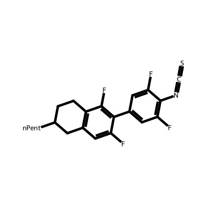 CCCCCC1CCc2c(cc(F)c(-c3cc(F)c(N=C=S)c(F)c3)c2F)C1